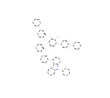 Bc1c(B)c(N(c2ccc(-c3ccccc3)cc2)c2cccc(-c3cccc(-c4cccc5c4c4ccccc4n5-c4ccccc4)c3)c2)c(B)c(B)c1-c1ccc(-c2ccccc2)cc1